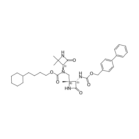 CC1(C)NC(=O)[C@H]1N(C[C@@]1(C)NC(=O)[C@H]1NC(=O)OCc1ccc(-c2ccccc2)cc1)C(=O)OCCCCC1CCCCC1